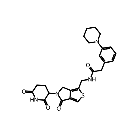 O=C(Cc1cccc(N2CCCCC2)c1)NCc1scc2c1CN(C1CCC(=O)NC1=O)C2=O